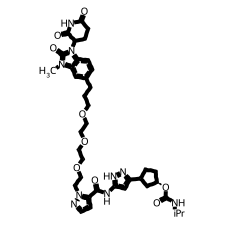 CC(C)NC(=O)O[C@H]1CCC(c2cc(NC(=O)c3ccnn3CCOCCOCCOCCCc3ccc4c(c3)n(C)c(=O)n4C3CCC(=O)NC3=O)[nH]n2)C1